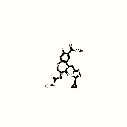 COC(=O)c1cc2c(cc1F)SC[C@H](NC(=O)OC(C)(C)C)C(=O)N2Cc1nnc(C2CC2)s1